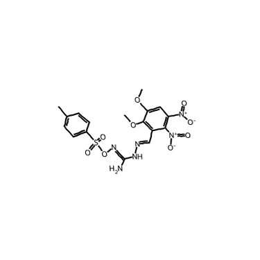 COc1cc([N+](=O)[O-])c([N+](=O)[O-])c(C=NNC(N)=NOS(=O)(=O)c2ccc(C)cc2)c1OC